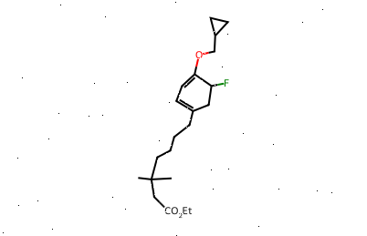 CCOC(=O)CC(C)(C)CCCCC1=CC=C(OCC2CC2)C(F)C1